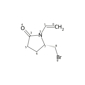 C=CN1C(=O)CC[C@H]1CBr